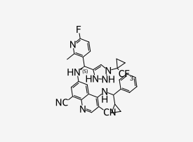 Cc1nc(F)ccc1[C@H](Nc1cc(C#N)c2ncc(C#N)c(NC(c3ccccc3)C3CC3)c2c1)C1=CN(C2(C(F)(F)F)CC2)NN1